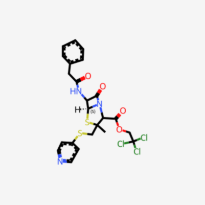 CC1(CSc2ccncc2)S[C@H]2C(NC(=O)Cc3ccccc3)C(=O)N2C1C(=O)OCC(Cl)(Cl)Cl